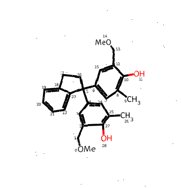 COCc1cc(C2(c3cc(C)c(O)c(COC)c3)CCc3ccccc32)cc(C)c1O